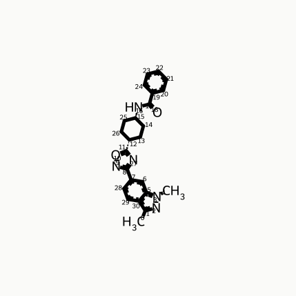 Cc1nn(C)c2cc(-c3noc([C@H]4CC[C@@H](NC(=O)c5ccccc5)CC4)n3)ccc12